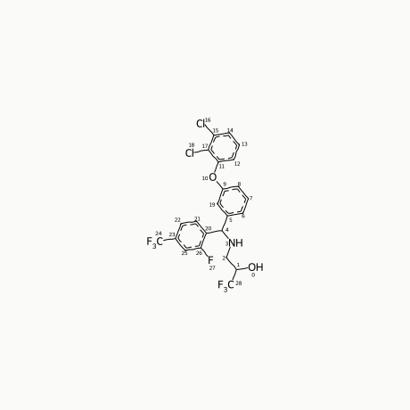 OC(CNC(c1cccc(Oc2cccc(Cl)c2Cl)c1)c1ccc(C(F)(F)F)cc1F)C(F)(F)F